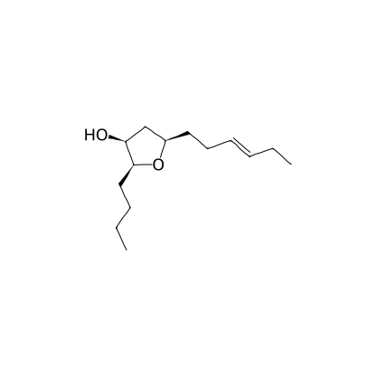 CC/C=C/CC[C@@H]1C[C@H](O)[C@H](CCCC)O1